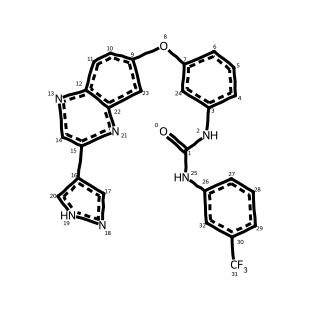 O=C(Nc1cccc(Oc2ccc3ncc(-c4cn[nH]c4)nc3c2)c1)Nc1cccc(C(F)(F)F)c1